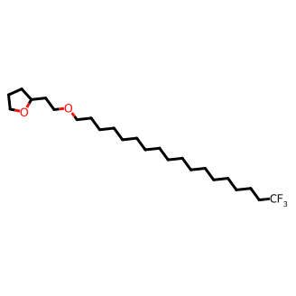 FC(F)(F)CCCCCCCCCCCCCCCCCOCCC1CCCO1